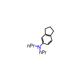 CCCN(CCC)c1ccc2c(c1)CCC2